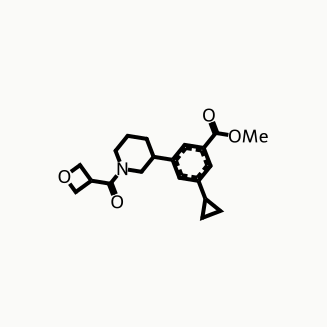 COC(=O)c1cc(C2CC2)cc(C2CCCN(C(=O)C3COC3)C2)c1